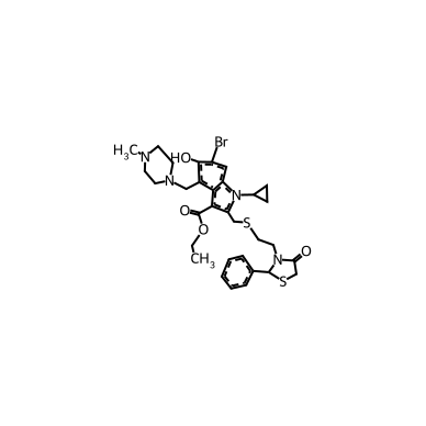 CCOC(=O)c1c(CSCCN2C(=O)CSC2c2ccccc2)n(C2CC2)c2cc(Br)c(O)c(CN3CCN(C)CC3)c12